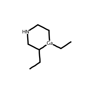 CC[CH]1CNC[CH2][Ga]1[CH2]C